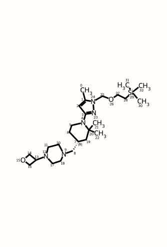 Cc1cc(N2CC[C@@H](CN3CCN(C4COC4)CC3)CC2(C)C)nn1COCC[Si](C)(C)C